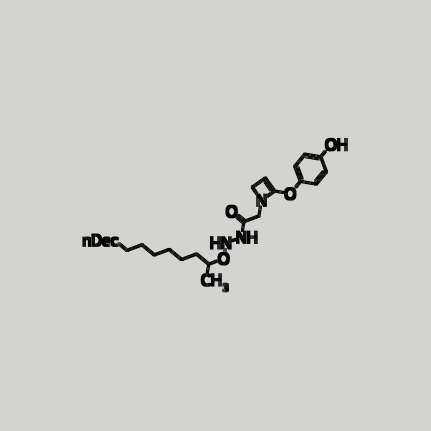 CCCCCCCCCCCCCCCCC(C)ONNC(=O)CN1CC=C1Oc1ccc(O)cc1